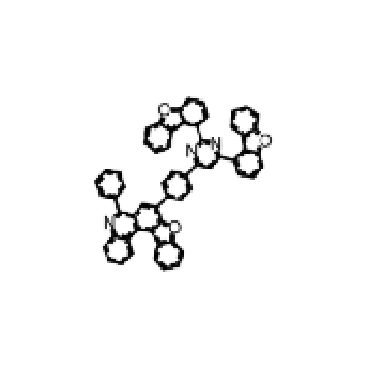 c1ccc(-c2nc3ccccc3c3c2cc(-c2ccc(-c4cc(-c5cccc6oc7ccccc7c56)nc(-c5cccc6oc7ccccc7c56)n4)cc2)c2oc4ccccc4c23)cc1